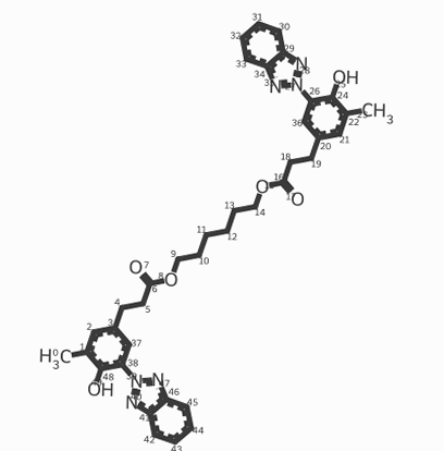 Cc1cc(CCC(=O)OCCCCCCOC(=O)CCc2cc(C)c(O)c(-n3nc4ccccc4n3)c2)cc(-n2nc3ccccc3n2)c1O